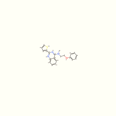 CN(CCOc1ccccc1)c1nc(-c2cccs2)nc2ccccc12